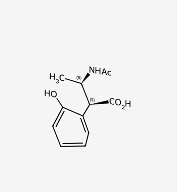 CC(=O)N[C@H](C)[C@@H](C(=O)O)c1ccccc1O